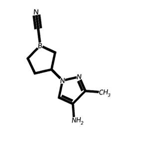 Cc1nn(C2CCB(C#N)C2)cc1N